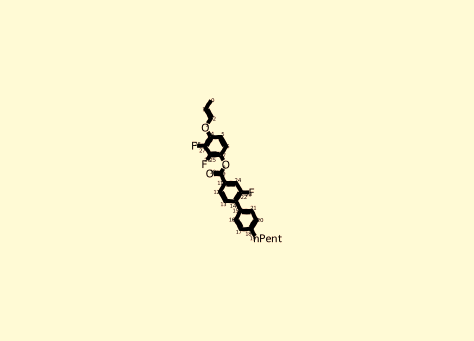 C/C=C/Oc1ccc(OC(=O)c2ccc(-c3ccc(CCCCC)cc3)c(F)c2)c(F)c1F